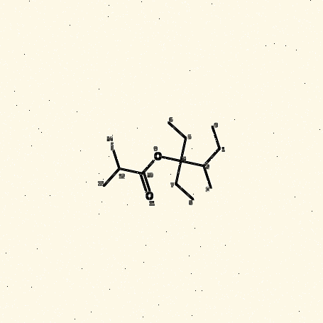 CCC(C)C(CC)(CC)OC(=O)C(C)I